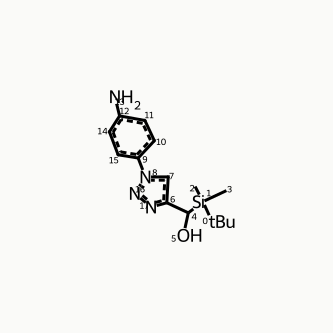 CC(C)(C)[Si](C)(C)C(O)c1cn(-c2ccc(N)cc2)nn1